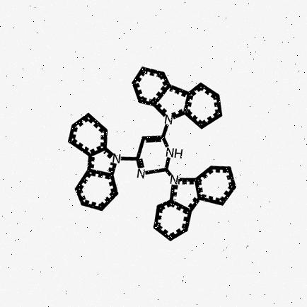 C1=C(n2c3ccccc3c3ccccc32)NC(n2c3ccccc3c3ccccc32)N=C1n1c2ccccc2c2ccccc21